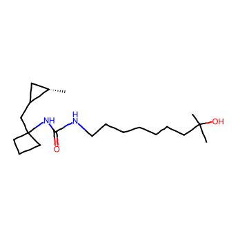 C[C@H]1CC1CC1(NC(=O)NCCCCCCCC(C)(C)O)CCC1